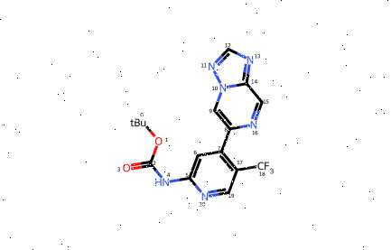 CC(C)(C)OC(=O)Nc1cc(-c2cn3ncnc3cn2)c(C(F)(F)F)cn1